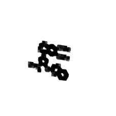 COc1cc2ncnc(N3CC(Oc4cnc5ccccc5n4)C(N(C)C(C)C)C3)c2cc1OC